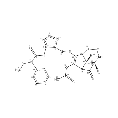 CCN(C(=O)Cn1nnnc1SCC1=C(OC(=O)O)N2C(=O)[C@H]3NCOC1[C@H]32)c1ccccc1